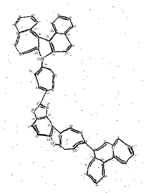 c1ccc2c(c1)cc(-c1ccc3c(c1)sc1ccc4oc(-c5ccc(-n6c7ccc8ccccc8c7c7c8ccccc8ccc76)cc5)nc4c13)c1ccccc12